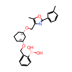 Cc1cccc(-c2nc(CO[C@H]3CCC[C@@H](OCc4ccccc4B(O)O)C3)c(C)o2)c1